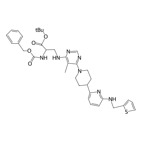 Cc1c(NCC(NC(=O)OCc2ccccc2)C(=O)OC(C)(C)C)ncnc1N1CCC(c2cccc(NCc3cccs3)n2)CC1